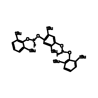 CC(C)(C)c1cc(OP(F)Oc2c(C(C)(C)C)cccc2C(C)(C)C)c(C(C)(C)C)cc1OP(F)Oc1c(C(C)(C)C)cccc1C(C)(C)C